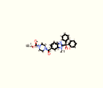 CCn1c(C(O)(c2ccccc2)c2ccccc2)nc2ccc(C(=O)N3CCN(C(=O)OC(C)(C)C)CC3)cc21